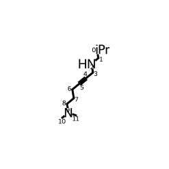 CC(C)CNCC#CCCCN(C)C